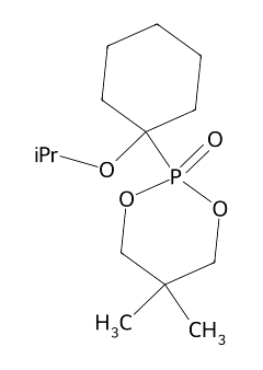 CC(C)OC1(P2(=O)OCC(C)(C)CO2)CCCCC1